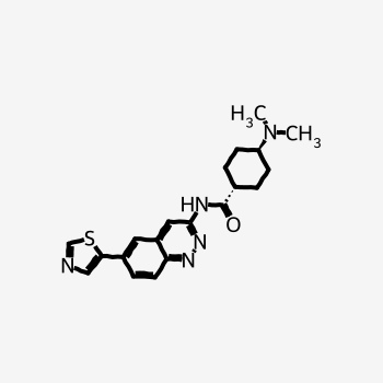 CN(C)[C@H]1CC[C@H](C(=O)Nc2cc3cc(-c4cncs4)ccc3nn2)CC1